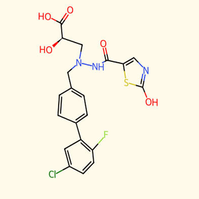 O=C(NN(Cc1ccc(-c2cc(Cl)ccc2F)cc1)C[C@@H](O)C(=O)O)c1cnc(O)s1